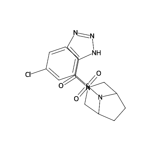 O=C(c1cnn[nH]1)N1CC2CCC(C1)N2S(=O)(=O)c1cccc(Cl)c1